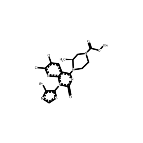 CC(C)c1ncsc1-n1c(=O)nc(N2CCN(C(=O)OC(C)(C)C)C[C@@H]2C)c2cc(Cl)c(Cl)nc21